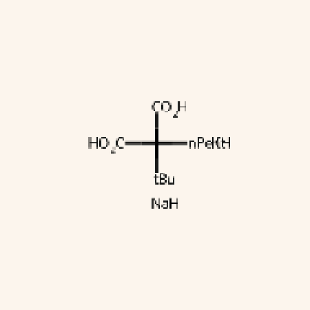 CCCCCC(C(=O)O)(C(=O)O)C(C)(C)C.[KH].[NaH]